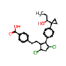 CCC(O)C1(c2ccc(C3C(Cl)CC(Cl)C3CCc3ccc(C(=O)O)cc3)cc2)CC1